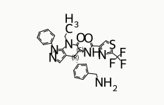 CCN1C(=O)[C@@H](NC(=O)c2csc(C(F)(F)F)n2)[C@H](c2cccc(CN)c2)c2cnn(-c3ccccc3)c21